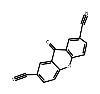 N#Cc1ccc2oc3ccc(C#N)cc3c(=O)c2c1